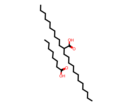 CCCCCCCC(=O)O.CCCCCCCCCCCCC(CCCCCCCCCC)C(=O)O